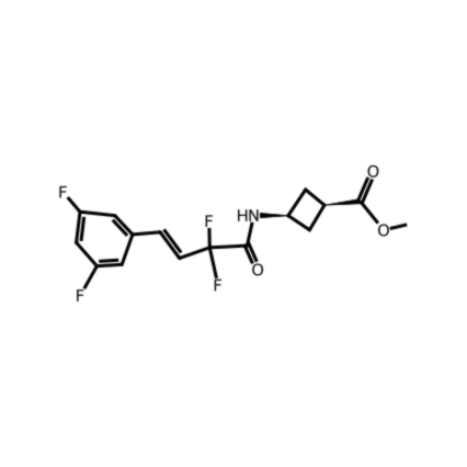 COC(=O)[C@H]1C[C@@H](NC(=O)C(F)(F)/C=C/c2cc(F)cc(F)c2)C1